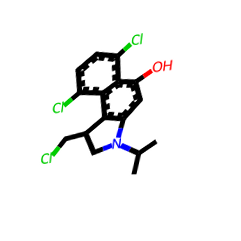 CC(C)N1CC(CCl)c2c1cc(O)c1c(Cl)ccc(Cl)c21